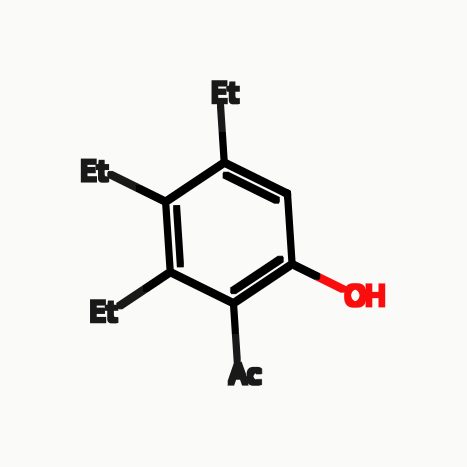 CCc1cc(O)c(C(C)=O)c(CC)c1CC